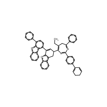 CCC1=C(C2C=C(c3ccc(-c4ccccc4)c4sc5ccccc5c34)c3oc4ccccc4c3C2)N=C(c2ccc(C3=CCCC=C3)cc2)N=C(c2ccccc2)C1